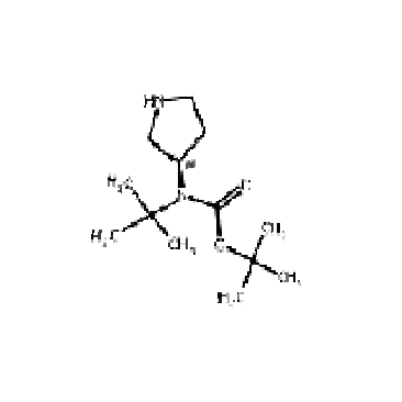 CC(C)(C)OC(=O)N([C@@H]1CCNC1)C(C)(C)C